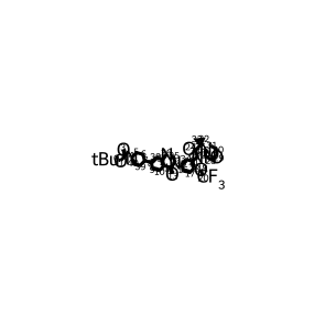 CC(C)(C)OC(=O)N1CCC(c2ccc3c(=O)n(-c4ccc(OC(F)(F)F)c(NC(=O)C5(N6CCOCC6)CC5)c4)cnc3c2)CC1